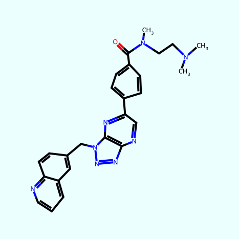 CN(C)CCN(C)C(=O)c1ccc(-c2cnc3nnn(Cc4ccc5ncccc5c4)c3n2)cc1